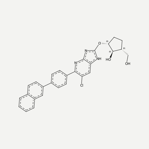 OC[C@H]1CC[C@@H](Oc2nc3nc(-c4ccc(-c5ccc6ccccc6c5)cc4)c(Cl)cc3[nH]2)[C@@H]1O